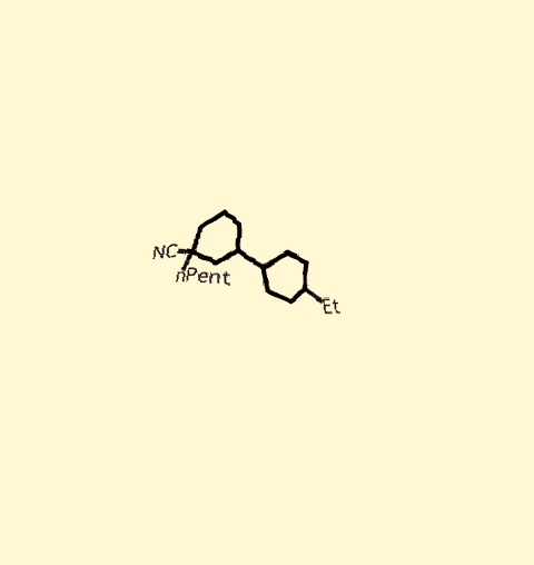 CCCCCC1(C#N)CCCC(C2CCC(CC)CC2)C1